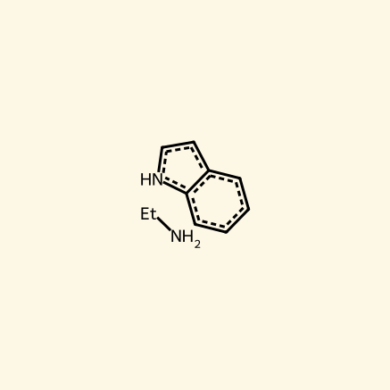 CCN.c1ccc2[nH]ccc2c1